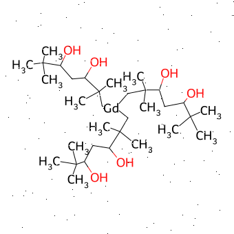 CC(C)(C)C(O)CC(O)C(C)(C)[CH2][Gd]([CH2]C(C)(C)C(O)CC(O)C(C)(C)C)[CH2]C(C)(C)C(O)CC(O)C(C)(C)C